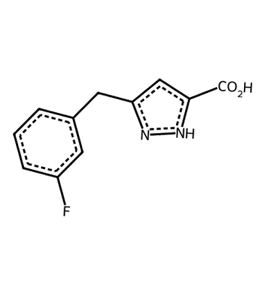 O=C(O)c1cc(Cc2cccc(F)c2)n[nH]1